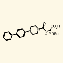 CC(C)(C)[C@H](NC(=O)N1CCN(c2ccc(-c3ccccc3)cc2)CC1)C(=O)O